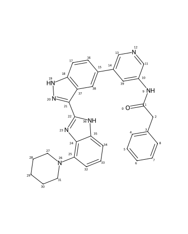 O=C(Cc1ccccc1)Nc1cncc(-c2ccc3[nH]nc(-c4nc5c(N6CCCCC6)cccc5[nH]4)c3c2)c1